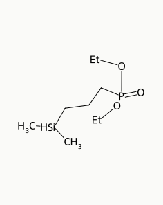 CCOP(=O)(CCC[SiH](C)C)OCC